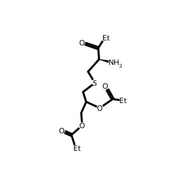 CCC(=O)OCC(CSC[C@H](N)C(=O)CC)OC(=O)CC